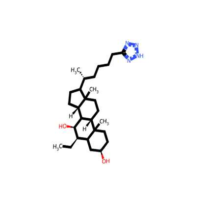 CC[C@@H]1C2C[C@H](O)CCC2(C)[C@H]2CCC3(C)C([C@H](C)CCCCc4nn[nH]n4)CC[C@H]3C2[C@@H]1O